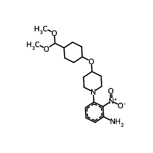 COC(OC)C1CCC(OC2CCN(c3cccc(N)c3[N+](=O)[O-])CC2)CC1